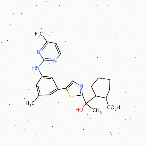 Cc1cc(Nc2nccc(C(F)(F)F)n2)cc(-c2cnc(C(C)(O)C3CCCCC3C(=O)O)s2)c1